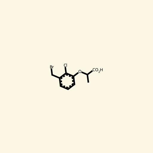 CC(Oc1cccc(CBr)c1Cl)C(=O)O